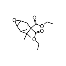 CCOC(=O)C1(C(=O)OCC)C2CC(C3OC32)C1(C)C